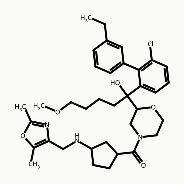 CCc1cccc(-c2c(Cl)cccc2C(O)(CCCCOC)C2CN(C(=O)C3CCC(NCc4nc(C)oc4C)C3)CCO2)c1